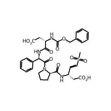 CS(=O)(=O)/C=C/[C@H](CC(=O)O)NC(=O)[C@H]1CCCN1C(=O)[C@H](NC(=O)[C@H](CC(=O)O)NC(=O)OCc1ccccc1)c1ccccc1